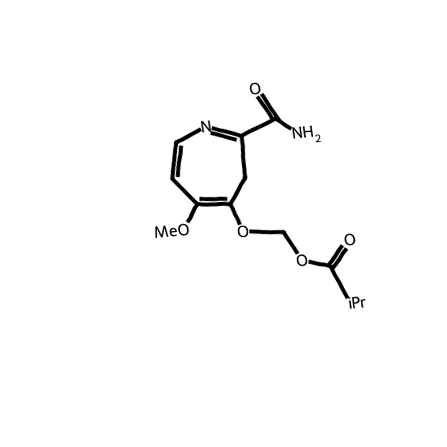 COC1=C(OCOC(=O)C(C)C)CC(C(N)=O)=NC=C1